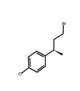 C[C@H](CCBr)c1ccc(Cl)cc1